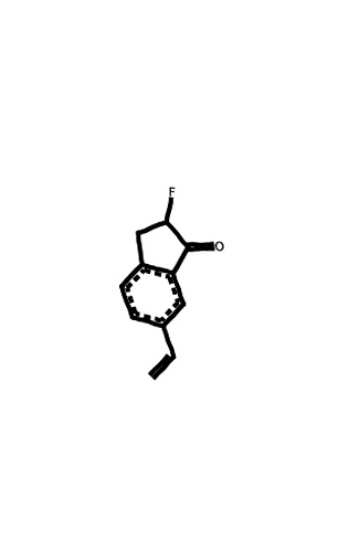 C=Cc1ccc2c(c1)C(=O)C(F)C2